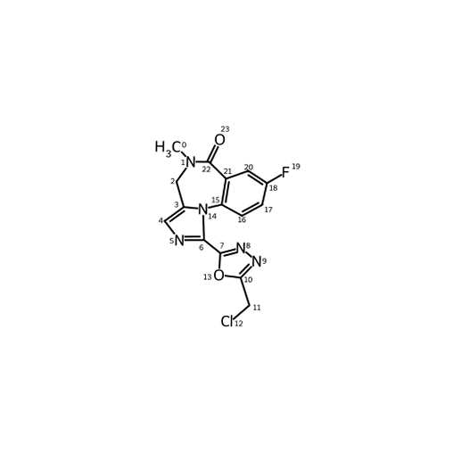 CN1Cc2cnc(-c3nnc(CCl)o3)n2-c2ccc(F)cc2C1=O